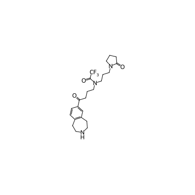 O=C(CCCN(CCCN1CCCC1=O)C(=O)C(F)(F)F)c1ccc2c(c1)CCNCC2